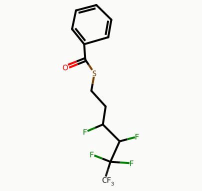 O=C(SCCC(F)C(F)C(F)(F)C(F)(F)F)c1ccccc1